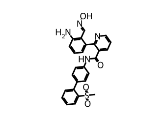 CS(=O)(=O)c1ccccc1-c1ccc(NC(=O)c2cccnc2-c2cccc(N)c2C=NO)cc1